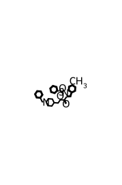 Cc1ccc2cc(C(=O)CCC3CCN(Cc4ccccc4)CC3)n(S(=O)(=O)c3ccccc3)c2c1